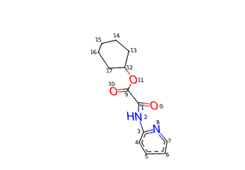 O=C(Nc1ccccn1)C(=O)OC1CCCCC1